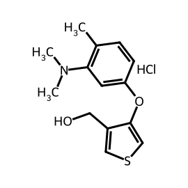 Cc1ccc(Oc2cscc2CO)cc1N(C)C.Cl